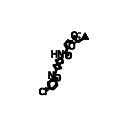 O=C(NC1CC2(C1)CC(c1nc3cc(Cl)ccc3o1)C2)c1ccc([S+]([O-])CC2CC2)o1